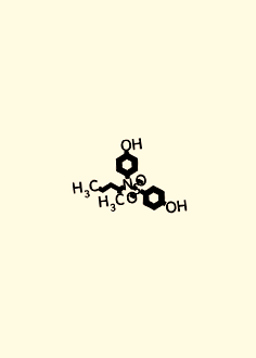 CCCC(C)N(c1ccc(O)cc1)S(=O)(=O)c1ccc(O)cc1